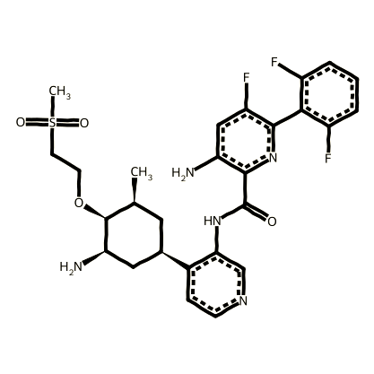 C[C@H]1C[C@@H](c2ccncc2NC(=O)c2nc(-c3c(F)cccc3F)c(F)cc2N)C[C@@H](N)[C@H]1OCCS(C)(=O)=O